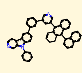 C1=Cc2c(c(-c3cccc4ccccc34)c3ccccc3c2-c2cncc(-c3cccc(-c4ccc5c(c4)c4ccncc4n5-c4ccccc4)c3)c2)CC1